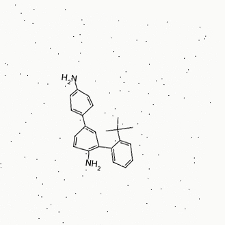 CC(C)(C)c1ccccc1-c1cc(-c2ccc(N)cc2)ccc1N